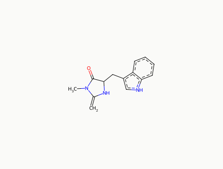 C=C1NC(Cc2c[nH]c3ccccc23)C(=O)N1C